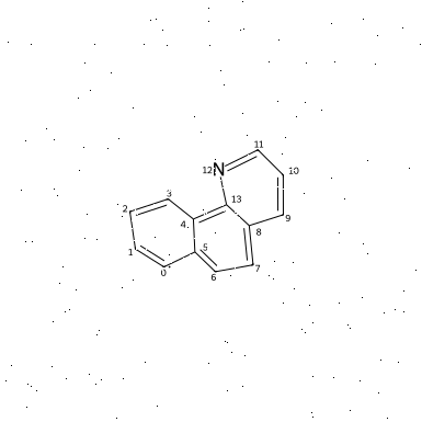 [c]1cccc2c1ccc1cccnc12